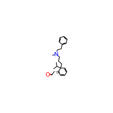 CC(C)C1(CCCN(C)CCc2ccccc2)C=CC=C[C@@H]1CC=O